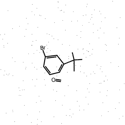 C=O.CC(C)(C)c1cccc(Br)c1